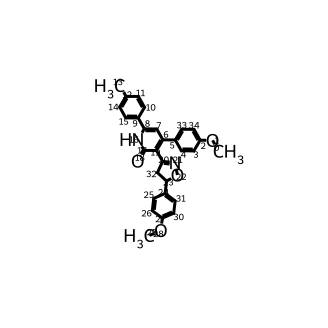 COc1ccc(-c2cc(-c3ccc(C)cc3)[nH]c(=O)c2C2=NOC(c3ccc(OC)cc3)C2)cc1